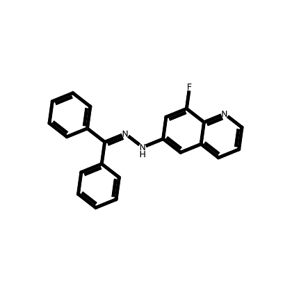 Fc1cc(NN=C(c2ccccc2)c2ccccc2)cc2cccnc12